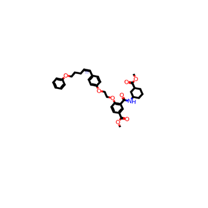 COC(=O)c1ccc(OCCOc2ccc(/C=C\CCCOc3ccccc3)cc2)c(C(=O)NC2CCCC(C(=O)OC)C2)c1